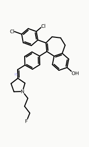 Oc1ccc2c(c1)CCCC(c1ccc(Cl)cc1Cl)=C2c1ccc(/C=C2/CCN(CCCF)C2)cc1